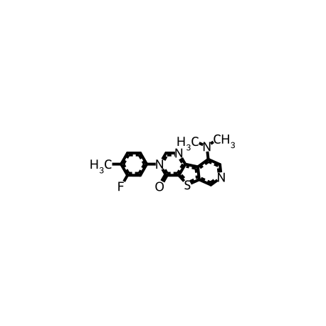 Cc1ccc(-n2cnc3c(sc4cncc(N(C)C)c43)c2=O)cc1F